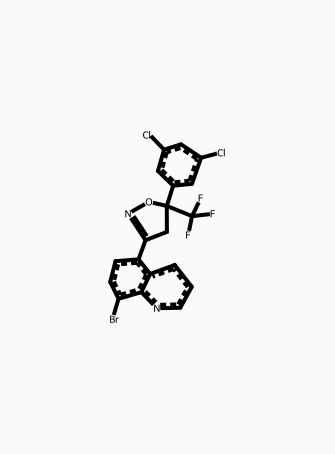 FC(F)(F)C1(c2cc(Cl)cc(Cl)c2)CC(c2ccc(Br)c3ncccc23)=NO1